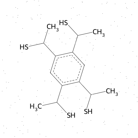 CC(S)c1cc(C(C)S)c(C(C)S)cc1C(C)S